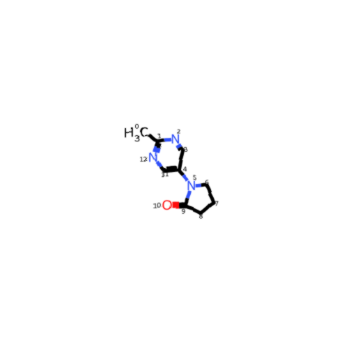 Cc1ncc(N2CCCC2=O)cn1